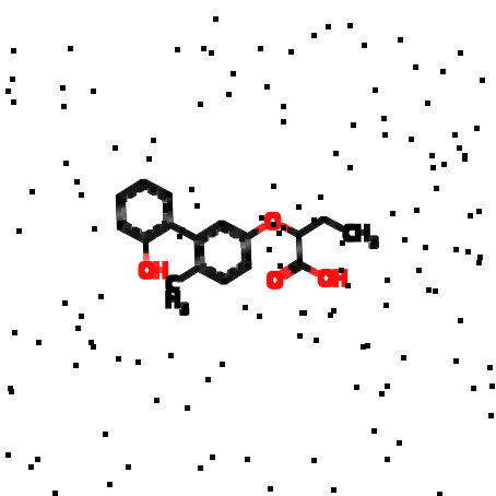 CCC(Oc1ccc(C)c(-c2ccccc2O)c1)C(=O)O